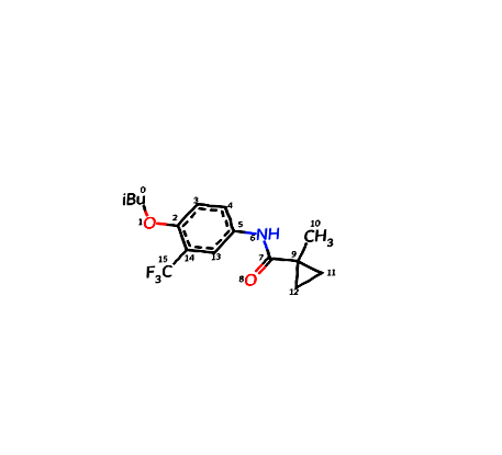 CCC(C)Oc1ccc(NC(=O)C2(C)CC2)cc1C(F)(F)F